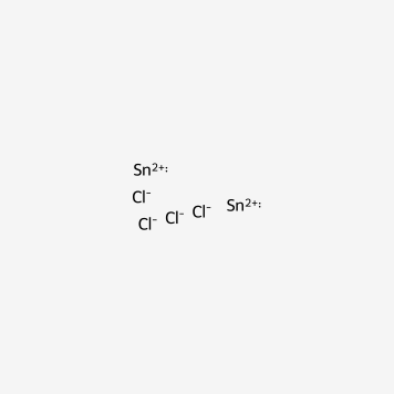 [Cl-].[Cl-].[Cl-].[Cl-].[Sn+2].[Sn+2]